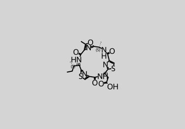 CC[C@H](C)[C@@H]1NC(=O)c2nc(oc2C)[C@H](C)NC(=O)c2csc(n2)[C@@H](CC(=O)O)NC(=O)c2csc1n2